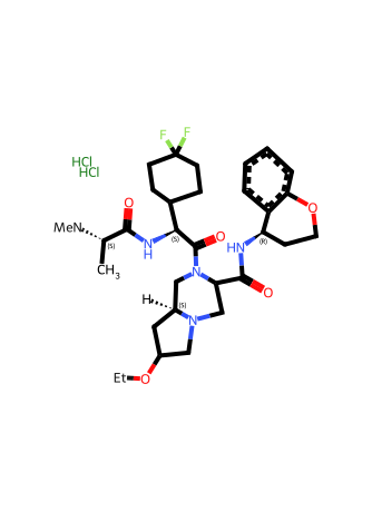 CCOC1C[C@H]2CN(C(=O)[C@@H](NC(=O)[C@H](C)NC)C3CCC(F)(F)CC3)C(C(=O)N[C@@H]3CCOc4ccccc43)CN2C1.Cl.Cl